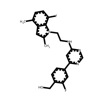 Cc1ccc(F)c2c1cc(C)n2CCNc1cc(-c2ccc(CO)c(F)c2)ncn1